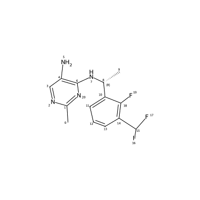 Cc1ncc(N)c(N[C@H](C)c2cccc(C(F)F)c2F)n1